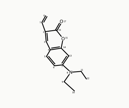 C=Cc1cc2ccc(N(CC)CC)cc2oc1=O